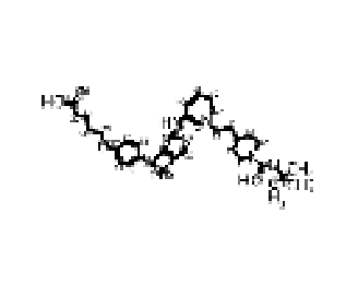 CC(C)(C)OC(O)N1CCC(CCN2C=C(Nc3ncc4nnn(-c5ccc(OCCCCC(=O)O)cc5)c4n3)C=CCC2)CC1